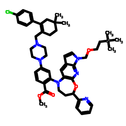 COC(=O)c1ccc(N2CCN(CC3=C(c4ccc(Cl)cc4)CC(C)(C)CC3)CC2)cc1N1CCC(c2ccccn2)Oc2nc3c(ccn3COCC[Si](C)(C)C)cc21